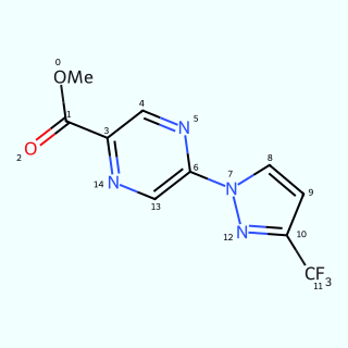 COC(=O)c1cnc(-n2ccc(C(F)(F)F)n2)cn1